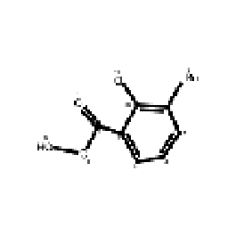 CC(C)(C)c1cccc(C(=O)OO)c1Cl